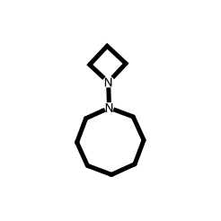 C1CCCN(N2CCC2)CCC1